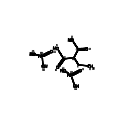 CCC(C(=O)O)C(=O)O.O=[PH](O)O.O=[PH](O)O